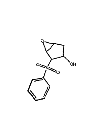 O=S(=O)(c1ccccc1)C1C(O)CC2OC21